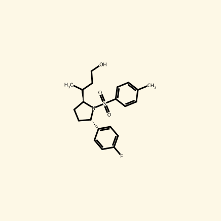 Cc1ccc(S(=O)(=O)N2[C@H](c3ccc(F)cc3)CC[C@H]2C(C)CCO)cc1